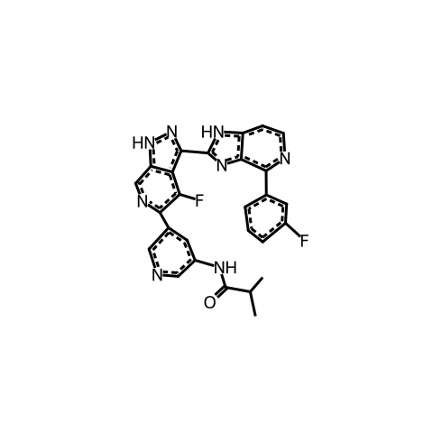 CC(C)C(=O)Nc1cncc(-c2ncc3[nH]nc(-c4nc5c(-c6cccc(F)c6)nccc5[nH]4)c3c2F)c1